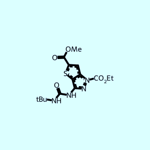 CCOC(=O)n1nc(NC(=O)NC(C)(C)C)c2sc(C(=O)OC)cc21